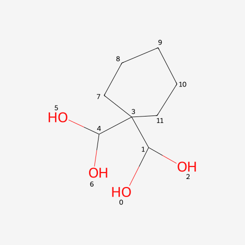 OC(O)C1(C(O)O)CCCCC1